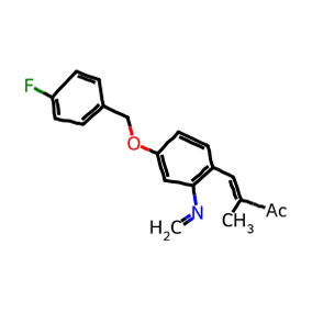 C=Nc1cc(OCc2ccc(F)cc2)ccc1/C=C(\C)C(C)=O